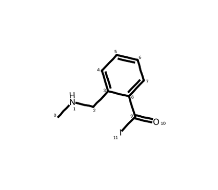 CNCc1ccccc1C(=O)I